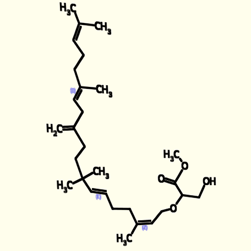 C=C(C/C=C(\C)CCC=C(C)C)CCC(C)(C)/C=C/CC/C(C)=C\COC(CO)C(=O)OC